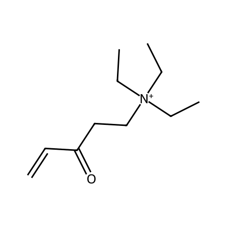 C=CC(=O)CC[N+](CC)(CC)CC